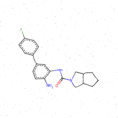 Nc1ccc(-c2ccc(F)cc2)cc1NC(=O)N1CC2CCCC2C1